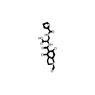 O=CN1CCc2c(cc(Cl)c(C(=O)NC(CNC(=O)c3cccs3)C(=O)O)c2Cl)C1